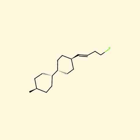 C[C@H]1CC[C@H]([C@H]2CC[C@H](C=CCCF)CC2)CC1